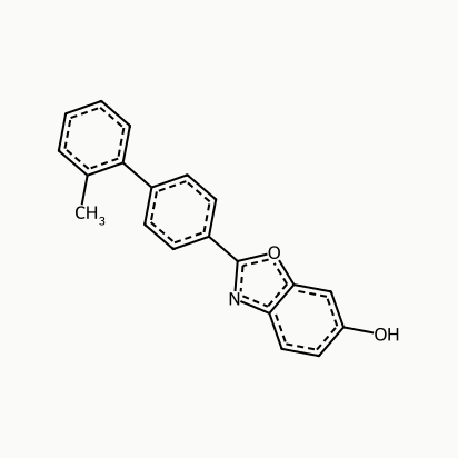 Cc1ccccc1-c1ccc(-c2nc3ccc(O)cc3o2)cc1